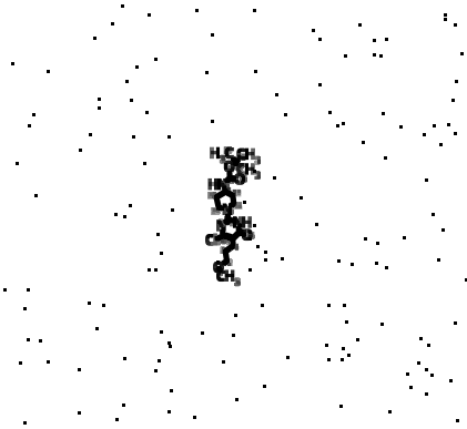 COCCCc1c(Cl)nc(N2CCC(NC(=O)OC(C)(C)C)CC2)[nH]c1=O